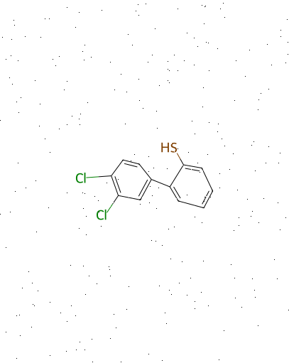 Sc1ccccc1-c1ccc(Cl)c(Cl)c1